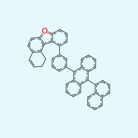 C1=Cc2ccc3oc4cccc(-c5cccc(-c6c7ccccc7c(-c7cccc8ccccc78)c7ccccc67)c5)c4c3c2CC1